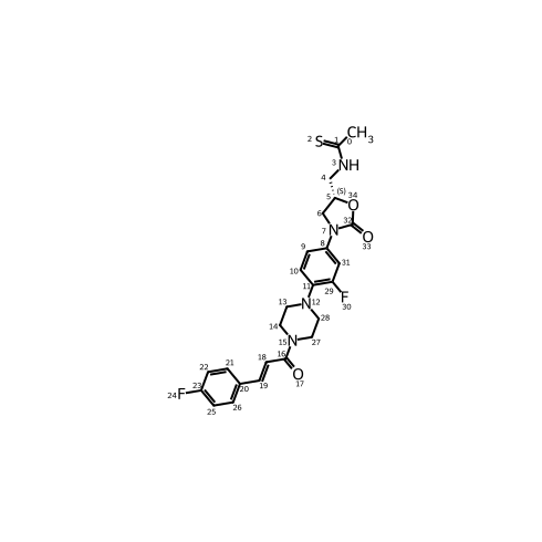 CC(=S)NC[C@H]1CN(c2ccc(N3CCN(C(=O)C=Cc4ccc(F)cc4)CC3)c(F)c2)C(=O)O1